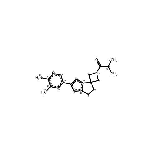 C[C@@H](N)C(=O)N1CC2(CCn3nc(-c4cnc(N)c(C(F)(F)F)c4)cc32)C1